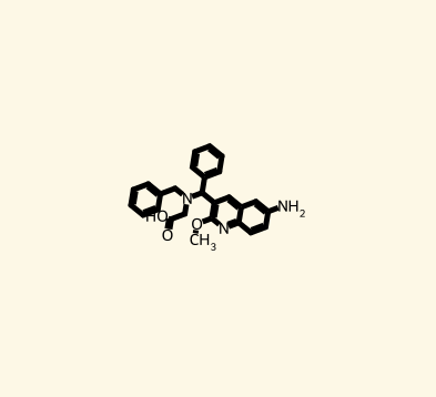 COc1nc2ccc(N)cc2cc1C(c1ccccc1)N(CC(=O)O)Cc1ccccc1